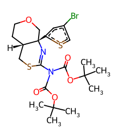 CC(C)(C)OC(=O)N(C(=O)OC(C)(C)C)C1=N[C@@]2(c3cc(Br)cs3)COCC[C@H]2CS1